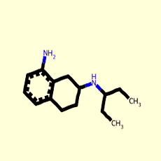 CCC(CC)NC1CCc2cccc(N)c2C1